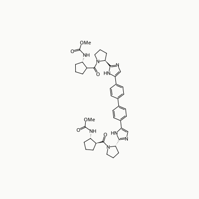 COC(=O)N[C@H]1CCCC1C(=O)N1CCC[C@H]1c1ncc(-c2ccc(-c3ccc(-c4cnc([C@@H]5CCCN5C(=O)[C@H]5CCC[C@@H]5NC(=O)OC)[nH]4)cc3)cc2)[nH]1